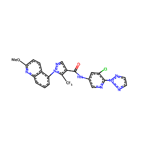 COc1ccc2c(-n3ncc(C(=O)Nc4cnc(-n5nccn5)c(Cl)c4)c3C(F)(F)F)cccc2n1